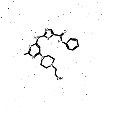 Cc1nc(Nc2ncc(C(=O)Nc3ccccc3)s2)cc(N2CCN(CCO)CC2)n1